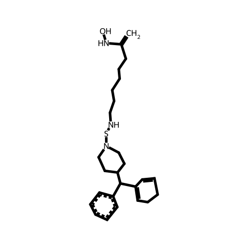 C=C(CCCCCCNSN1CCC(C(C2=CCCC=C2)c2ccccc2)CC1)NO